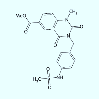 COC(=O)c1ccc2c(c1)c(=O)n(Cc1ccc(NS(C)(=O)=O)cc1)c(=O)n2C